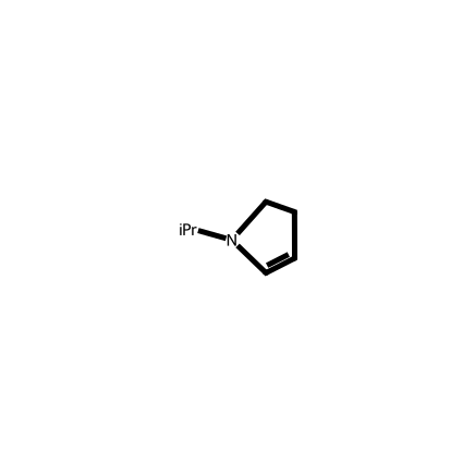 CC(C)N1C=CCC1